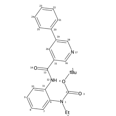 CCN(C(=O)OC(C)(C)C)c1ccccc1NC(=O)c1cncc(-c2ccccc2)c1